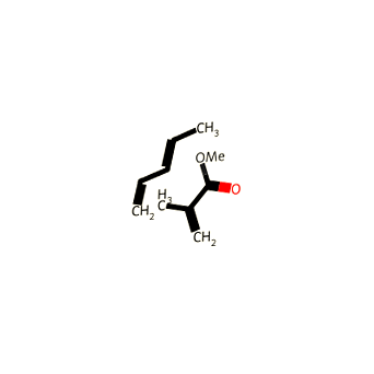 C=C(C)C(=O)OC.C=CC=CC